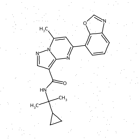 Cc1cc(-c2cccc3ncoc23)nc2c(C(=O)NC(C)(C)C3CC3)cnn12